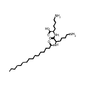 CCCCCCCCCCCCCCCC(=O)NC(CCCCN)C(=O)NC(CCCCN)C(=O)O